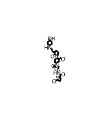 COCc1cc(N2C[C@H](CNC(=O)c3ccc(Cl)s3)OC2=O)ccc1-n1cccc(CCN[C@H]2CC[C@H](O)CC2)c1=O